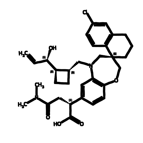 C=C[C@H](O)[C@@H]1CC[C@H]1CN1C[C@@]2(CCCc3cc(Cl)ccc32)COc2ccc([C@@H](CC(=O)N(C)C)C(=O)O)cc21